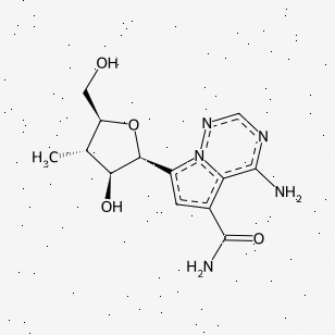 C[C@H]1[C@H](O)[C@H](c2cc(C(N)=O)c3c(N)ncnn23)O[C@@H]1CO